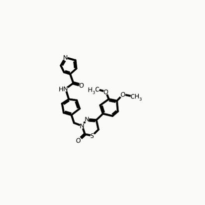 COc1ccc(C2=NN(Cc3ccc(NC(=O)c4ccncc4)cc3)C(=O)SC2)cc1OC